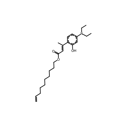 C=CCCCCCCCCOC(=O)C=C(C)c1ccc(N(CC)CC)cc1O